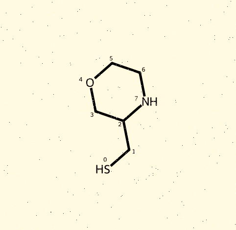 SCC1COCCN1